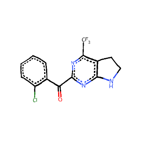 O=C(c1nc2c(c(C(F)(F)F)n1)CCN2)c1ccccc1Cl